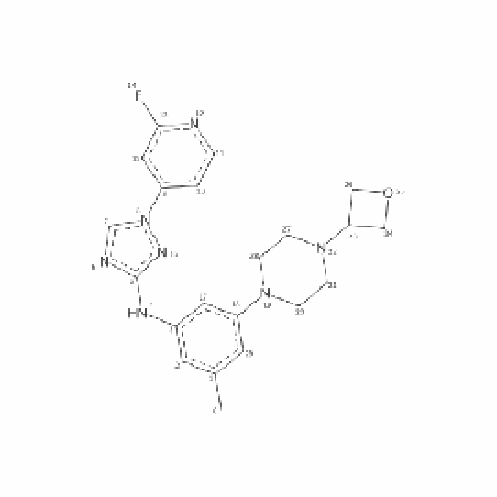 Cc1cc(Nc2ncn(-c3ccnc(F)c3)n2)cc(N2CCN(C3COC3)CC2)c1